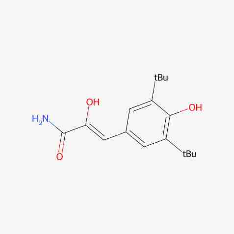 CC(C)(C)c1cc(C=C(O)C(N)=O)cc(C(C)(C)C)c1O